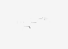 CC(O)C(=O)C(O)CCN